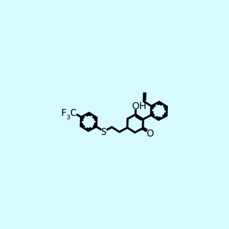 C=Cc1ccccc1C1=C(O)CC(CCSc2ccc(C(F)(F)F)cc2)CC1=O